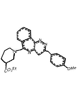 CCOC(=O)C1CCCN(c2nc3cc(-c4ccc(OC)cc4)nnc3c3ccccc23)C1